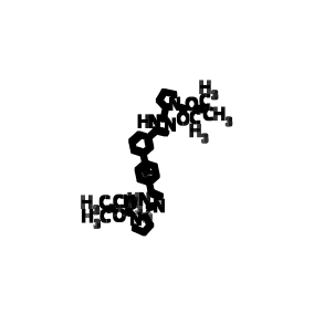 CC(C)(C)OC(=O)N1CCCC1c1ncc(-c2cccc(C34CCC(c5cnc([C@@H]6CCCN6C(=O)OC(C)(C)C)[nH]5)(CC3)CC4)c2)[nH]1